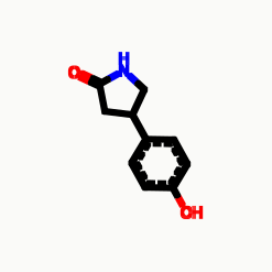 O=C1CC(c2ccc(O)cc2)CN1